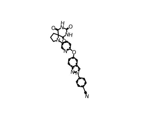 N#Cc1ccc(-n2cc3cc(Oc4ccc(N5CCCC56C(=O)NC(=O)NC6=O)cn4)ccc3n2)cc1